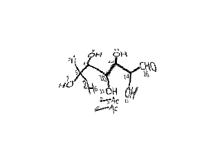 CC(C)=O.CC(C)=O.[2H]C([2H])(O)C(O)C(O)C(O)C(O)C=O